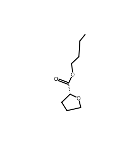 CCCCOC(=O)[C@H]1CCCO1